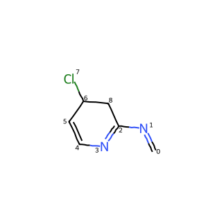 C=NC1=NC=CC(Cl)C1